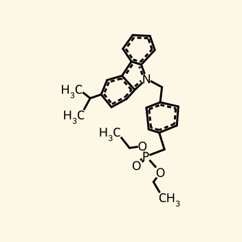 CCOP(=O)(Cc1ccc(Cn2c3ccccc3c3cc(C(C)C)ccc32)cc1)OCC